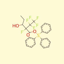 CCC(O)C(F)(C(=O)OS(c1ccccc1)(c1ccccc1)c1ccccc1)C(F)(F)C(F)(F)F